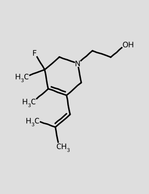 CC(C)=CC1=C(C)C(C)(F)CN(CCO)C1